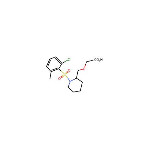 Cc1cccc(Cl)c1S(=O)(=O)N1CCCCC1COCC(=O)O